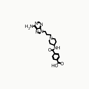 Nc1ncnc2c1ncn2CCCN1CCC(NC(=O)c2ccc(C(=O)O)cc2)CC1